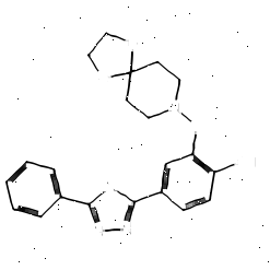 Cc1ccc(-c2nnc(-c3ccccc3)[nH]2)cc1SN1CCC2(CC1)OCCO2